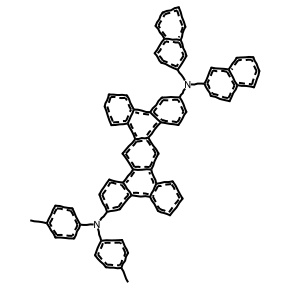 Cc1ccc(N(c2ccc(C)cc2)c2ccc3c(c2)c2ccccc2c2cc4c5ccc(N(c6ccc7ccccc7c6)c6ccc7ccccc7c6)cc5c5ccccc5c4cc32)cc1